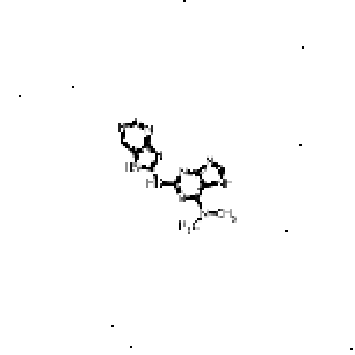 CN(C)c1nc(Nc2nc3ncncc3[nH]2)nc2nc[nH]c12